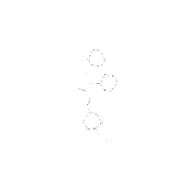 COc1ccc(/C=C/C(=O)N(Cc2ccccc2)c2ccccc2)cc1